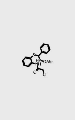 COPC(Sc1ccccc1NC(=O)CCl)c1ccccc1